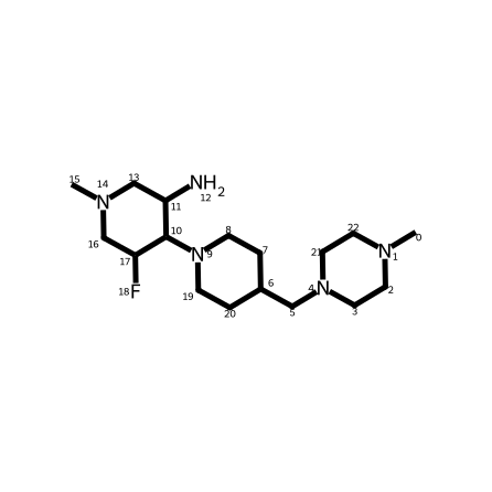 CN1CCN(CC2CCN(C3C(N)CN(C)CC3F)CC2)CC1